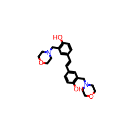 Oc1ccc(C=Cc2ccc(O)c(CN3CCOCC3)c2)cc1CN1CCOCC1